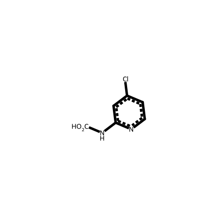 O=C(O)Nc1cc(Cl)ccn1